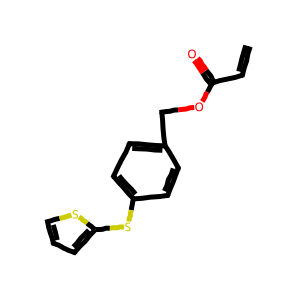 C=CC(=O)OCc1ccc(Sc2cccs2)cc1